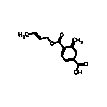 C=C1CC(C(=O)O)=CC=C1C(=O)OCC=CC